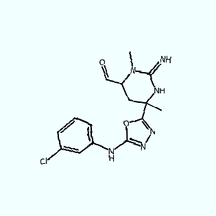 CN1C(=N)NC(C)(c2nnc(Nc3cccc(Cl)c3)o2)CC1C=O